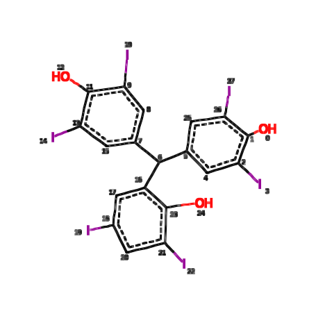 Oc1c(I)cc(C(c2cc(I)c(O)c(I)c2)c2cc(I)cc(I)c2O)cc1I